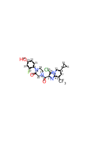 O=C(c1nc2c(C(F)(F)F)cc(C3CC3)cn2c1Cl)N1CCN(c2ccc(O)cc2F)C(=O)C1